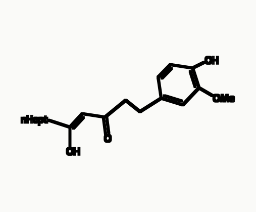 CCCCCCCC(O)=CC(=O)CCc1ccc(O)c(OC)c1